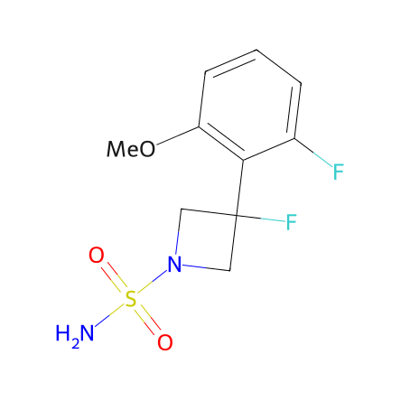 COc1cccc(F)c1C1(F)CN(S(N)(=O)=O)C1